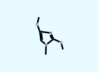 COc1cn(C)c(OC)n1